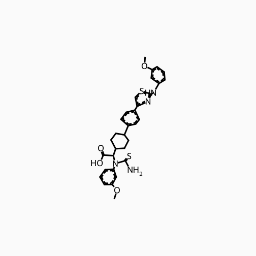 COc1cccc(Nc2nc(-c3ccc(C4CCC(C(C(=O)O)N(C(N)=S)c5cccc(OC)c5)CC4)cc3)cs2)c1